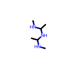 CNC(C)NC(C)NC